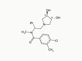 Cc1cc(C(=O)N(C)C(CN2C[C@@H](O)[C@H](O)C2)C(C)C)ccc1Cl